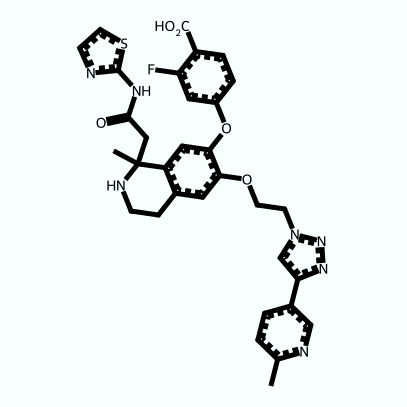 Cc1ccc(-c2cn(CCOc3cc4c(cc3Oc3ccc(C(=O)O)c(F)c3)C(C)(CC(=O)Nc3nccs3)NCC4)nn2)cn1